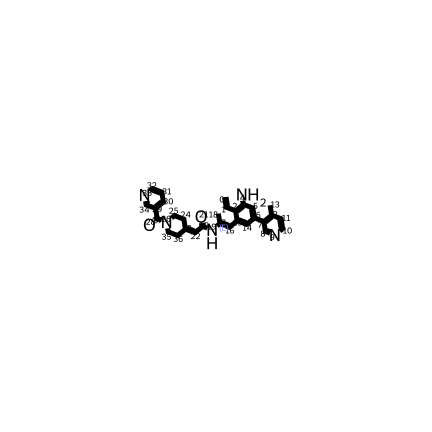 C=Cc1c(N)cc(-c2cnccc2C)cc1/C=C(\C)NC(=O)C=C1CCN(C(=O)c2cccnc2)CC1